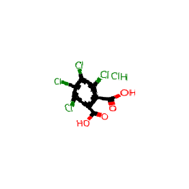 Cl.O=C(O)c1c(Cl)c(Cl)c(Cl)c(Cl)c1C(=O)O